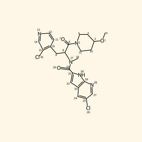 COC1CCN(C(=O)C(Cc2ccncc2Cl)N(C)C(=O)c2cc3cc(Cl)cnc3[nH]2)CC1